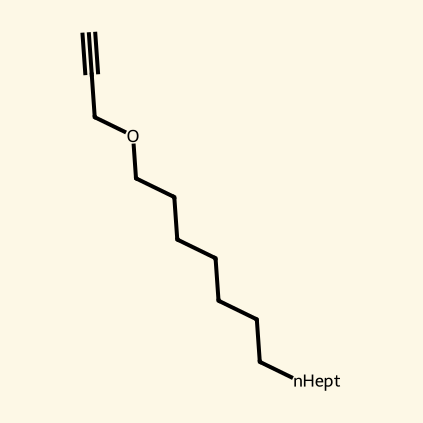 C#CCOCCCCCCCCCCCCCC